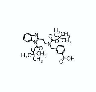 CC(C)(C)OC(=O)N(CCc1nc2ccccc2n1C(=O)OC(C)(C)C)Cc1cccc(C(=O)O)c1